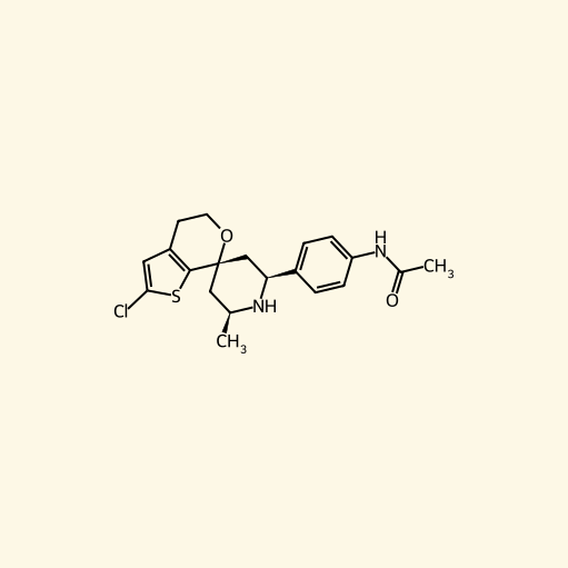 CC(=O)Nc1ccc([C@@H]2C[C@]3(C[C@H](C)N2)OCCc2cc(Cl)sc23)cc1